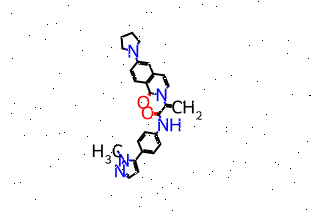 C=C(C(=O)Nc1ccc(-c2ccnn2C)cc1)n1ccc2cc(N3CCCC3)ccc2c1=O